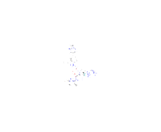 CC(=O)c1nn(CC(=O)N2C[C@](F)(CN(N)/C=C\N)C[C@H]2C(=O)Nc2nc(Br)ccc2C)c2ccc(-c3cnc(C)nc3)cc12